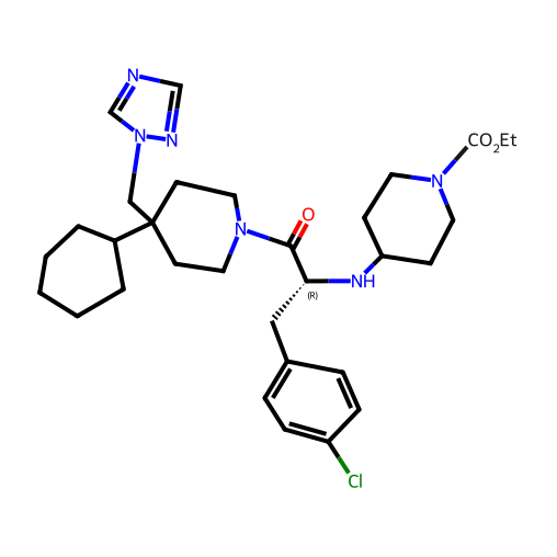 CCOC(=O)N1CCC(N[C@H](Cc2ccc(Cl)cc2)C(=O)N2CCC(Cn3cncn3)(C3CCCCC3)CC2)CC1